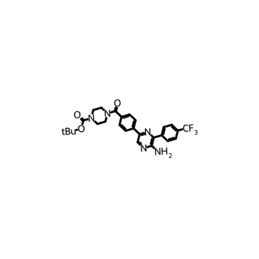 CC(C)(C)OC(=O)N1CCN(C(=O)c2ccc(-c3cnc(N)c(-c4ccc(C(F)(F)F)cc4)n3)cc2)CC1